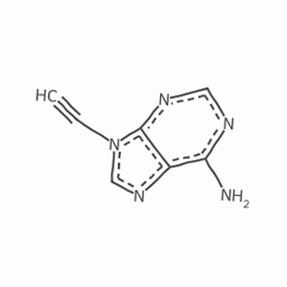 C#Cn1cnc2c(N)ncnc21